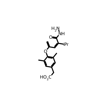 C=C(/C=C(\C(=O)NN)C(C)C)Oc1c(C)cc(CC(=O)O)cc1C